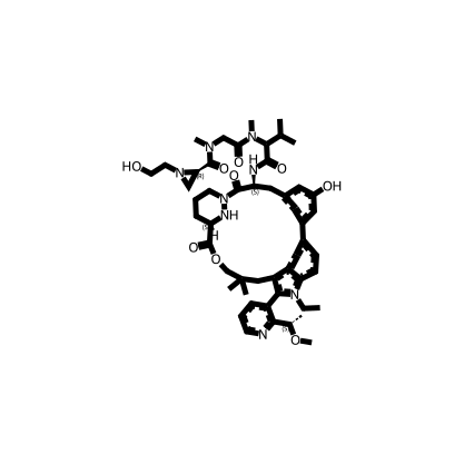 CCn1c(-c2cccnc2[C@H](C)OC)c2c3cc(ccc31)-c1cc(O)cc(c1)C[C@H](NC(=O)C(C(C)C)N(C)C(=O)CN(C)C(=O)[C@H]1CN1CCO)C(=O)N1CCC[C@H](N1)C(=O)OCC(C)(C)C2